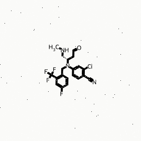 CNC[C@H](CC=O)N(Cc1ccc(F)cc1C(F)(F)F)c1ccc(C#N)c(Cl)c1